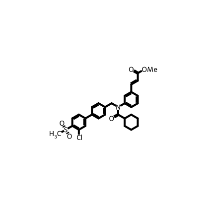 COC(=O)/C=C/c1cccc(N(Cc2ccc(-c3ccc(S(C)(=O)=O)c(Cl)c3)cc2)C(=O)C2CCCCC2)c1